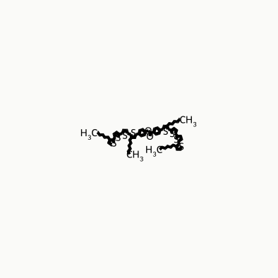 CCCCCCc1ccsc1-c1ccc(-c2ccc(-c3sc(-c4ccc(OC(=O)c5ccc(-c6cc(CCCCCC)c(-c7ccc(-c8ccc(-c9sccc9CCCCCC)s8)s7)s6)cc5)cc4)cc3CCCCCC)s2)s1